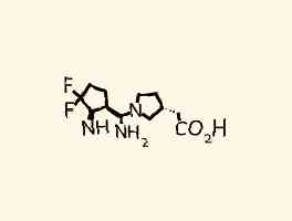 N=C1/C(=C(\N)N2CC[C@H](CC(=O)O)C2)CCC1(F)F